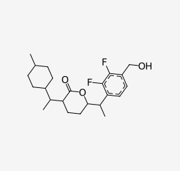 CC1CCC(C(C)C2CCC(C(C)c3ccc(CO)c(F)c3F)OC2=O)CC1